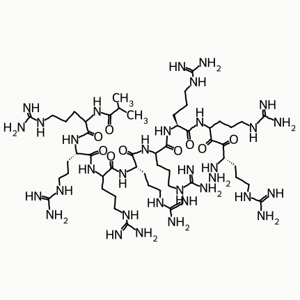 CC(C)C(=O)NC(CCCNC(=N)N)C(=O)N[C@@H](CCCNC(=N)N)C(=O)NC(CCCNC(=N)N)C(=O)N[C@@H](CCCNC(=N)N)C(=O)NC(CCCNC(=N)N)C(=O)N[C@@H](CCCNC(=N)N)C(=O)NC(CCCNC(=N)N)C(=O)C(=O)[C@H](CCCNC(=N)N)NN